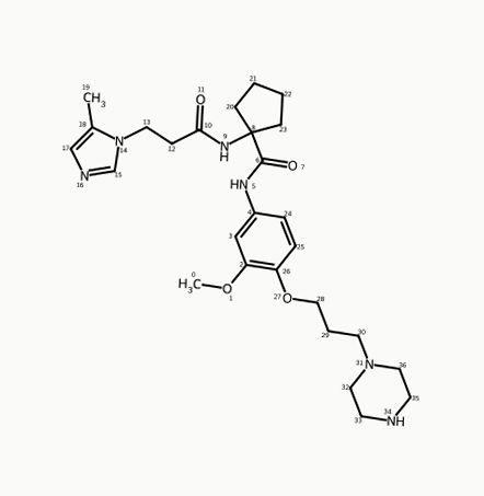 COc1cc(NC(=O)C2(NC(=O)CCn3cncc3C)CCCC2)ccc1OCCCN1CCNCC1